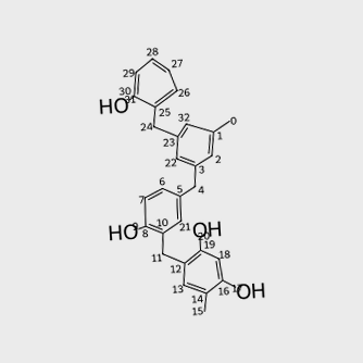 Cc1cc(Cc2ccc(O)c(Cc3cc(C)c(O)cc3O)c2)cc(Cc2ccccc2O)c1